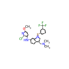 COc1ccc(Nc2ccc3c(CN(C)C)cn(Sc4cccc(C(F)(F)F)c4)c3c2)c(Cl)n1